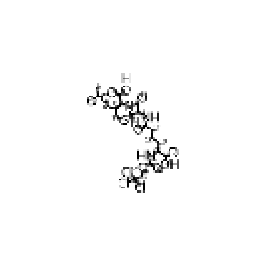 CC(=O)OCC1=C(C(=O)O)N2C(=O)C(NC(=O)CCCC(NC(=O)OCC(Cl)(Cl)Cl)C(=O)O)[C@@H]2SC1